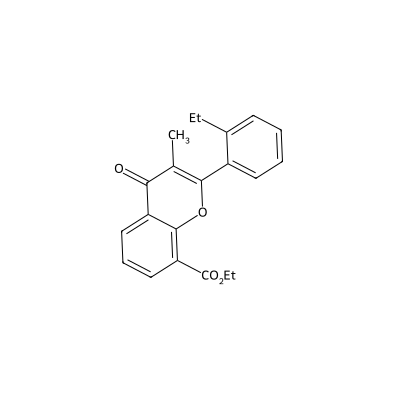 CCOC(=O)c1cccc2c(=O)c(C)c(-c3ccccc3CC)oc12